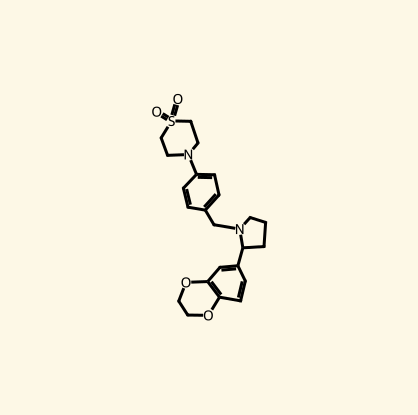 O=S1(=O)CCN(c2ccc(CN3CCCC3c3ccc4c(c3)OCCO4)cc2)CC1